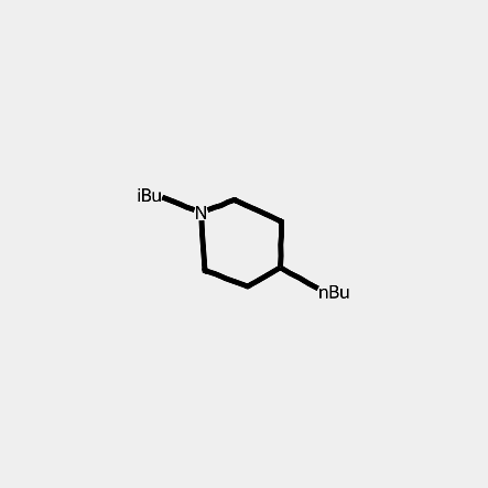 CCCCC1CCN(C(C)CC)CC1